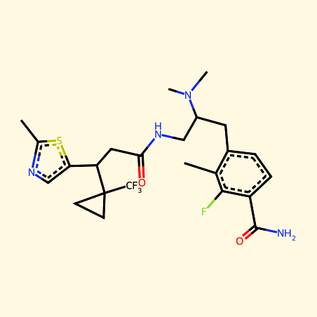 Cc1ncc(C(CC(=O)NCC(Cc2ccc(C(N)=O)c(F)c2C)N(C)C)C2(C(F)(F)F)CC2)s1